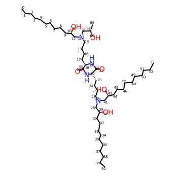 CCCCCCCCCC[C@@H](O)CN(CCCC[C@H]1NC(=O)[C@H](CCCCN(C[C@@H](O)CCCCCCCCCC)C[C@@H](O)CCCCCCCCCC)NC1=O)C[C@@H](C)O